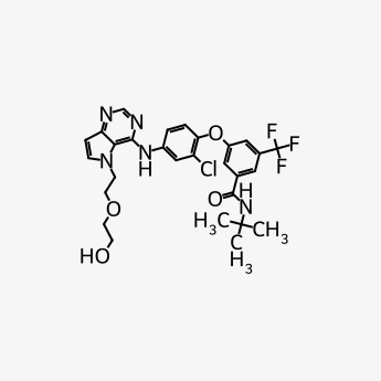 CC(C)(C)NC(=O)c1cc(Oc2ccc(Nc3ncnc4ccn(CCOCCO)c34)cc2Cl)cc(C(F)(F)F)c1